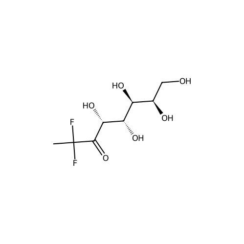 CC(F)(F)C(=O)[C@H](O)[C@@H](O)[C@@H](O)[C@H](O)CO